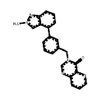 Cn1cc2c(-c3cccc(Cn4cnc5cccnc5c4=O)c3)cccc2n1